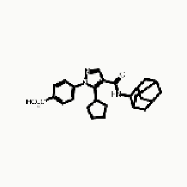 O=C(O)c1ccc(-n2ncc(C(=O)NC3C4CC5CC(C4)CC3C5)c2C2CCCC2)cc1